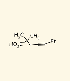 CCC#CCC(C)(C)C(=O)O